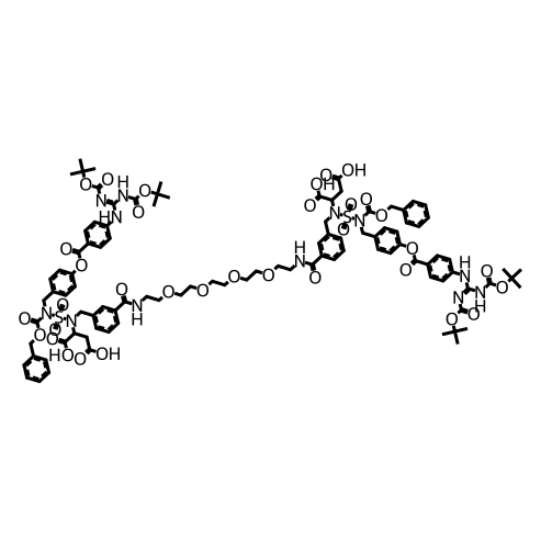 CC(C)(C)OC(=O)N=C(NC(=O)OC(C)(C)C)Nc1ccc(C(=O)Oc2ccc(CN(C(=O)OCc3ccccc3)S(=O)(=O)N(Cc3cccc(C(=O)NCCOCCOCCOCCOCCNC(=O)c4cccc(CN(C(CC(=O)O)C(=O)O)S(=O)(=O)N(Cc5ccc(OC(=O)c6ccc(NC(=NC(=O)OC(C)(C)C)NC(=O)OC(C)(C)C)cc6)cc5)C(=O)OCc5ccccc5)c4)c3)C(CC(=O)O)C(=O)O)cc2)cc1